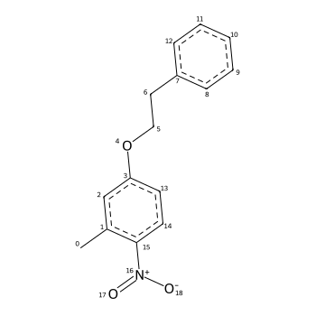 Cc1cc(OCCc2ccccc2)ccc1[N+](=O)[O-]